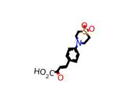 O=C(O)C(=O)C=Cc1ccc(N2CCS(=O)(=O)CC2)cc1